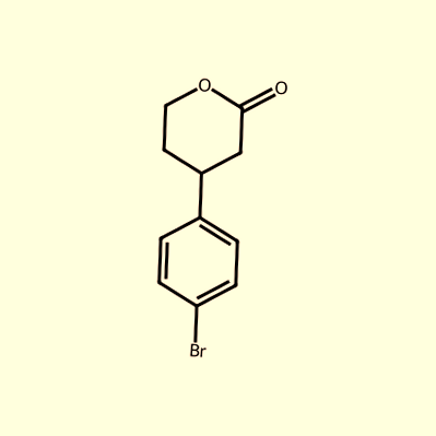 O=C1CC(c2ccc(Br)cc2)CCO1